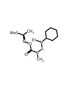 CCN(SN(C)C(=O)ON=C(C)SC)C1CCCCC1